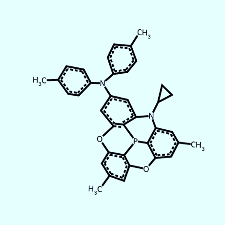 Cc1ccc(N(c2ccc(C)cc2)c2cc3c4c(c2)N(C2CC2)c2cc(C)cc5c2P4c2c(cc(C)cc2O3)O5)cc1